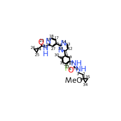 COC1(CCNC(=O)Nc2cc(-c3ccnc(-c4ccnc(NC(=O)C5CC5)c4)n3)c(C)cc2F)CC1